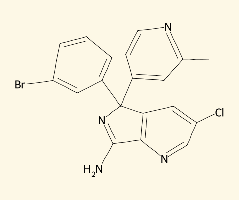 Cc1cc(C2(c3cccc(Br)c3)N=C(N)c3ncc(Cl)cc32)ccn1